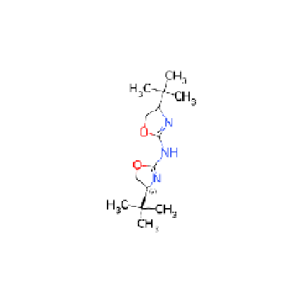 CC(C)(C)C1COC(NC2=N[C@@H](C(C)(C)C)CO2)=N1